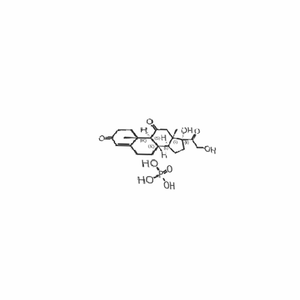 C[C@]12CCC(=O)C=C1CC[C@@H]1[C@@H]2C(=O)C[C@@]2(C)[C@H]1CC[C@]2(O)C(=O)CO.O=P(O)(O)O